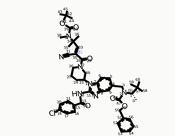 C[C@H](N(Cc1ccc2c(c1)nc(NC(=O)c1ccc(Cl)cc1)n2C1CCCN(C(=O)/C(C#N)=C/C(C)(C)N(C)C(=O)OC(C)(C)C)C1)C(=O)OCc1ccccc1)C(C)(C)C